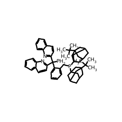 CC(C)(C)C12CC3CC(CC(P(Cc4ccccc4C(P)(c4ccc5ccccc5n4)c4ccc5ccccc5n4)C45CC6CC(C4)CC(C(C)(C)C)(C6)C5)(C3)C1)C2